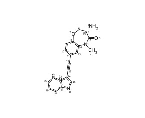 CN1C(=O)[C@@H](N)COc2ccc(C#Cc3cnc4cccnn34)cc21